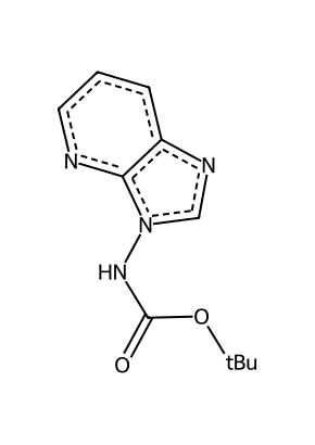 CC(C)(C)OC(=O)Nn1cnc2cccnc21